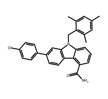 Cc1cc(C)c(Cn2c3cc(-c4ccc(Cl)cc4)c[c]c3c3c(C(N)=O)cccc32)c(C)c1